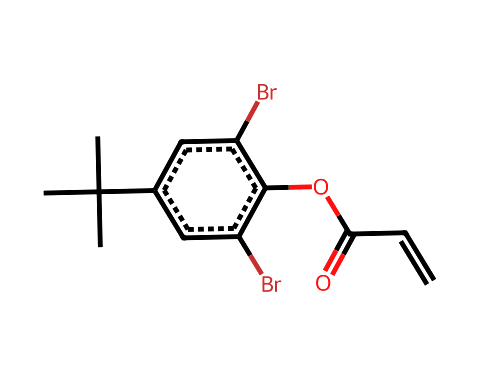 C=CC(=O)Oc1c(Br)cc(C(C)(C)C)cc1Br